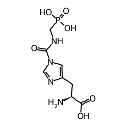 N[C@@H](Cc1cn(C(=O)NCP(=O)(O)O)cn1)C(=O)O